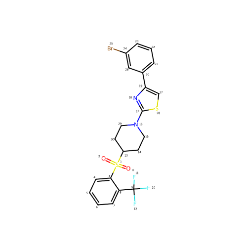 O=S(=O)(c1ccccc1C(F)(F)F)C1CCN(c2nc(-c3cccc(Br)c3)cs2)CC1